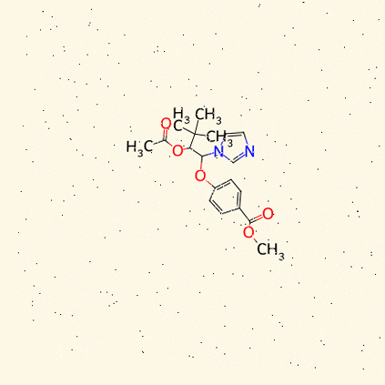 COC(=O)c1ccc(OC(C(OC(C)=O)C(C)(C)C)n2ccnc2)cc1